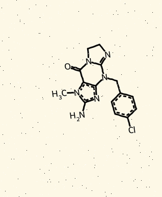 Cn1c(N)nc2c1C(=O)N1CCN=C1N2Cc1ccc(Cl)cc1